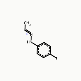 C/C=N/Nc1ccc(I)cc1